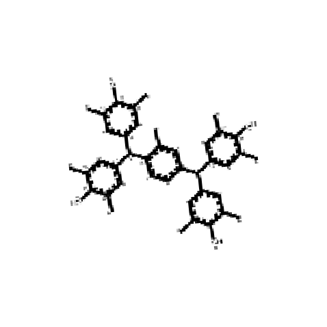 Cc1cc(C(c2cc(C)c(O)c(C)c2)c2cc(C)c(O)c(C)c2)ccc1C(c1cc(C)c(O)c(C)c1)c1cc(C)c(O)c(C)c1